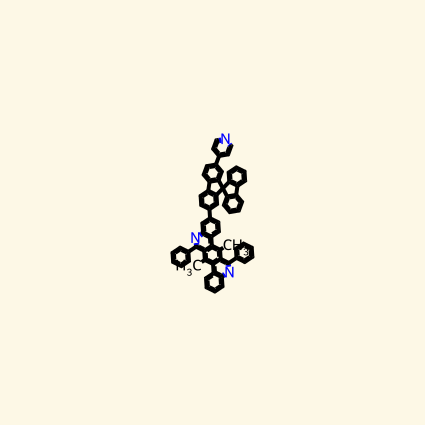 Cc1c2c(-c3ccccc3)nc3cc(-c4ccc5c(c4)C4(c6ccccc6-c6ccccc64)c4cc(-c6ccncc6)ccc4-5)ccc3c2c(C)c2c(-c3ccccc3)nc3ccccc3c12